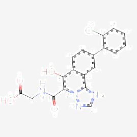 O=C(O)CNC(=O)c1c(O)c2ccc(-c3ccccc3Cl)cc2c2ncnn12